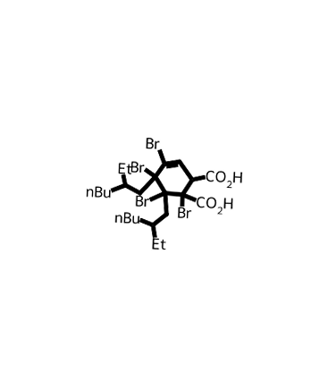 CCCCC(CC)CC1(Br)C(Br)=CC(C(=O)O)C(Br)(C(=O)O)C1(Br)CC(CC)CCCC